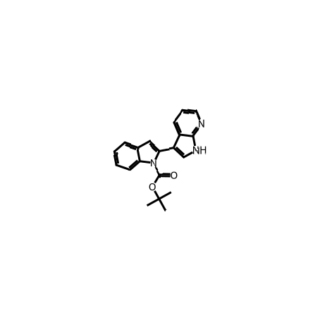 CC(C)(C)OC(=O)n1c(-c2c[nH]c3ncccc23)cc2ccccc21